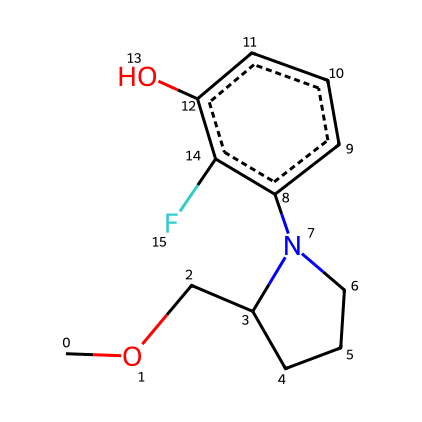 COCC1CCCN1c1cccc(O)c1F